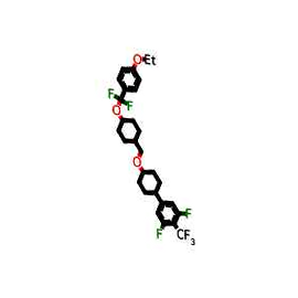 CCOc1ccc(C(F)(F)OC2CCC(COC3CCC(c4cc(F)c(C(F)(F)F)c(F)c4)CC3)CC2)cc1